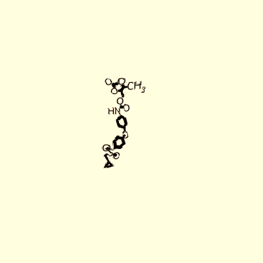 Cc1oc(=O)oc1COC(=O)Nc1ccc(Oc2ccc(S(=O)(=O)CC3CC3)cc2)cc1